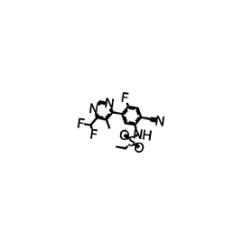 CCS(=O)(=O)Nc1cc(-c2ncnc(C(F)F)c2C)c(F)cc1C#N